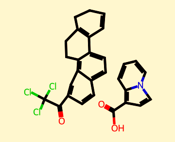 O=C(O)c1ccn2ccccc12.O=C(c1ccc2ccc3c(c2c1)CCC1=C3C=CCC1)C(Cl)(Cl)Cl